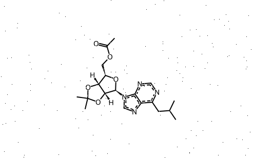 CC(=O)OC[C@H]1O[C@@H](n2cnc3c(CC(C)C)ncnc32)[C@@H]2OC(C)(C)O[C@@H]21